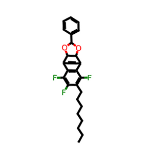 CCCCCCCCc1c(F)c(F)c2c(c1F)C1C=CC2C2OC(c3ccccc3)OC12